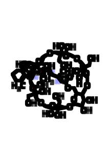 CC1=C(/C=C/C(C)=C/C=C/C(C)=C/[C@@H](O)OCC2OC3OC4C(CO)OC(OC5C(CO)OC(OC6C(CO)OC(OC7C(CO)OC(OC8C(CO)OC(OC2C(O)C3O)C(O)C8O)C(O)C7O)C(O)C6O)C(O)C5O)C(O)C4O)C(C)(C)CCC1